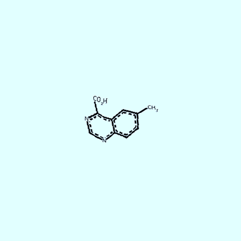 Cc1ccc2ncnc(C(=O)O)c2c1